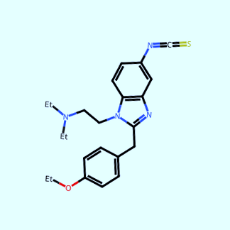 CCOc1ccc(Cc2nc3cc(N=C=S)ccc3n2CCN(CC)CC)cc1